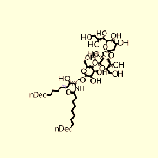 CCCCCCCCCCCCC/C=C/[C@@H](O)[C@H](CO[C@@H]1OC(CO)[C@@H](O[C@@H]2OC(CO)[C@H](O)[C@H](O[C@]3(C(=O)O)CC(O)[C@@H](O)C([C@H](O)[C@H](O)CO)O3)C2O)[C@H](O)C1O)NC(=O)CCCCCCCCCCCCCCCCC